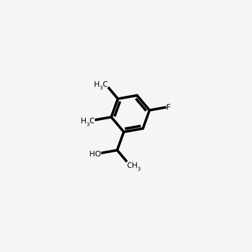 Cc1cc(F)cc(C(C)O)c1C